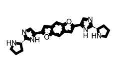 c1nc([C@@H]2CCCN2)[nH]c1-c1cc2cc3oc(-c4cnc([C@@H]5CCCN5)[nH]4)cc3cc2o1